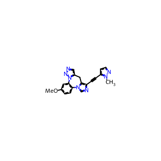 COc1ccc2c(c1)-n1nncc1Cc1c(C#Cc3ccnn3C)ncn1-2